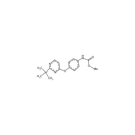 CC(C)(C)OC(=O)Nc1ccc(Oc2ccnc([N+](C)(C)C)n2)cc1